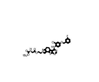 CC(C)(C)OC(=O)NCC(=O)OCCn1cc2c(n1)CCc1c-2sc2ncnc(Nc3ccc(OCc4cccc(F)c4)cc3Cl)c12